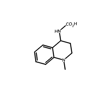 CN1CCC(NC(=O)O)c2ccccc21